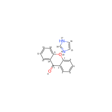 O=c1c2ccccc2oc2ccccc12.c1c[nH]cn1